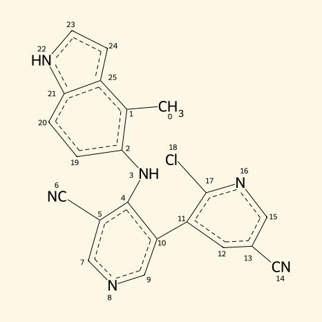 Cc1c(Nc2c(C#N)cncc2-c2cc(C#N)cnc2Cl)ccc2[nH]ccc12